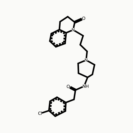 O=C(Cc1ccc(Cl)cc1)NC1CCN(CCCN2C(=O)CCc3ccccc32)CC1